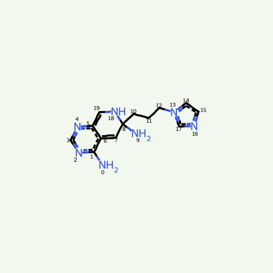 Nc1ncnc2c1=CC(N)(CCCn1ccnc1)NC=2